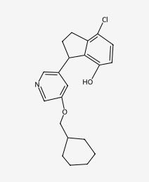 Oc1ccc(Cl)c2c1C(c1cncc(OCC3CCCCC3)c1)CC2